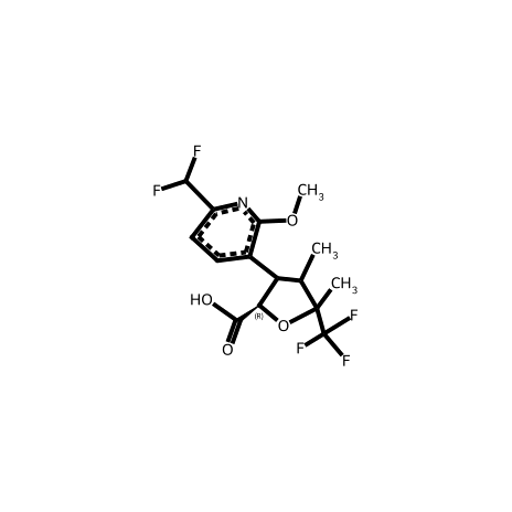 COc1nc(C(F)F)ccc1C1C(C)C(C)(C(F)(F)F)O[C@H]1C(=O)O